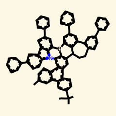 Cc1ccc2c(c1)c1cc(C(C)(C)C)ccc1c1cc3c4c(c21)-n1c2ccc(-c5ccccc5)cc2c2cc(-c5ccccc5)cc(c21)B4c1cc(-c2ccccc2)cc2c1C3CCc1ccc(-c3ccccc3)cc1-2